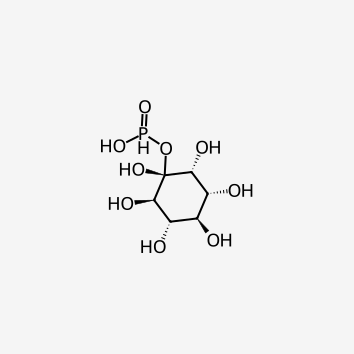 O=[PH](O)O[C@]1(O)[C@H](O)[C@H](O)[C@@H](O)[C@H](O)[C@H]1O